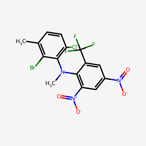 Cc1ccc(Cl)c(N(C)c2c([N+](=O)[O-])cc([N+](=O)[O-])cc2C(F)(F)F)c1Br